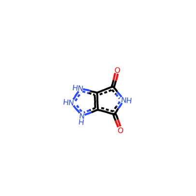 O=c1[nH]c(=O)c2[nH][nH][nH]c1=2